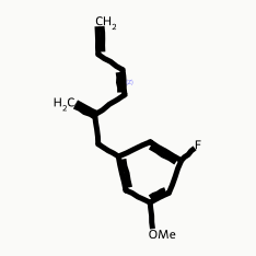 C=C/C=C\C(=C)Cc1cc(F)cc(OC)c1